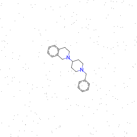 c1ccc(CN2CCC(N3CCc4ccccc4C3)CC2)cc1